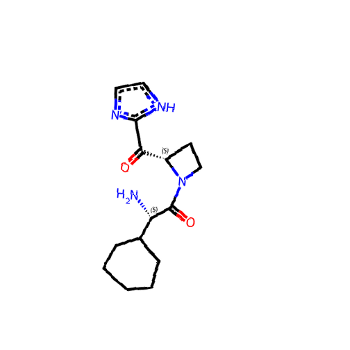 N[C@H](C(=O)N1CC[C@H]1C(=O)c1ncc[nH]1)C1CCCCC1